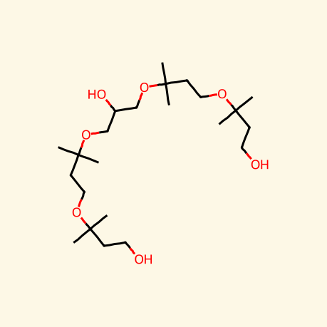 CC(C)(CCO)OCCC(C)(C)OCC(O)COC(C)(C)CCOC(C)(C)CCO